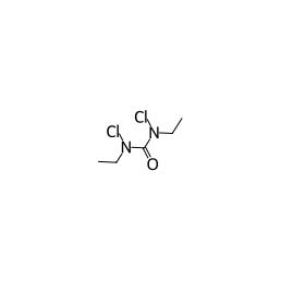 CCN(Cl)C(=O)N(Cl)CC